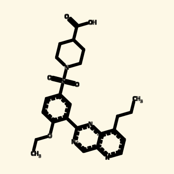 CCCc1ccnc2cnc(-c3cc(S(=O)(=O)N4CCC(C(=O)O)CC4)ccc3OCC)nc12